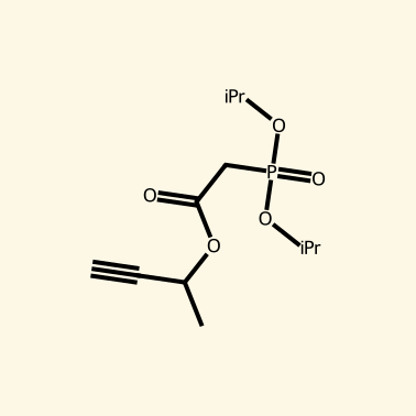 C#CC(C)OC(=O)CP(=O)(OC(C)C)OC(C)C